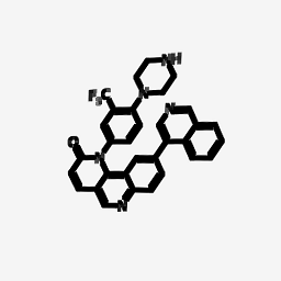 O=c1ccc2cnc3ccc(-c4cncc5ccccc45)cc3c2n1-c1ccc(N2CCNCC2)c(C(F)(F)F)c1